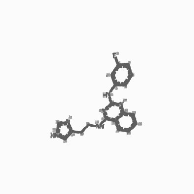 Fc1cccc(Nc2nc(NCCc3c[nH]cn3)c3ccccc3n2)c1